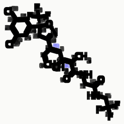 C=C/C(=C\C(C)=C(/C)C(=O)NCC(=O)NCC(F)(F)F)C1=NO[C@@](c2cc(Cl)cc(Cl)c2)(C(F)(F)F)C1